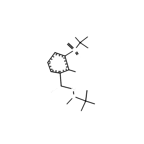 C[C@@H](N[S+]([O-])C(C)(C)C)c1cccc(S(=O)(=O)C(F)(F)F)c1F